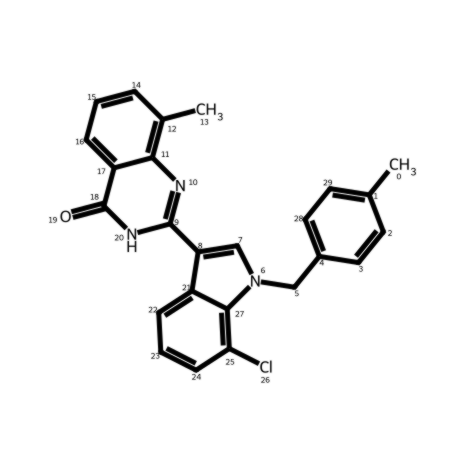 Cc1ccc(Cn2cc(-c3nc4c(C)cccc4c(=O)[nH]3)c3cccc(Cl)c32)cc1